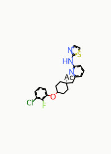 CC(=O)[C@]1(Cc2cccc(Nc3nccs3)n2)CC[C@@H](Oc2cccc(Cl)c2F)CC1